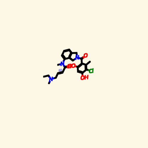 CCN(C)C/C=C/C(=O)N(C)c1cccc2c1CN(C(=O)c1c(O)cc(O)c(Cl)c1C)C2